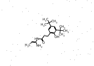 CC=C(N)NC(=O)CCc1cc(C(C)(C)C)cc(C(C)(C)C)c1O